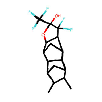 CC1C(C)C2CC1C1C3CC(C21)C1C3OC(O)(C(F)(F)F)C1(F)F